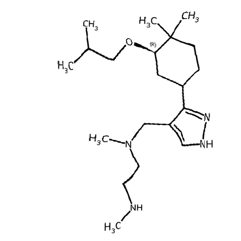 CNCCN(C)Cc1c[nH]nc1C1CCC(C)(C)[C@H](OCC(C)C)C1